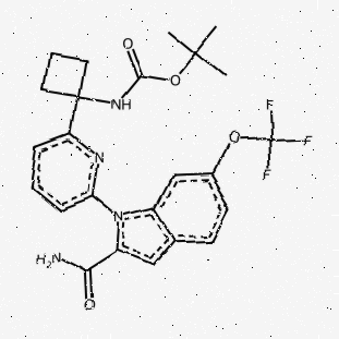 CC(C)(C)OC(=O)NC1(c2cccc(-n3c(C(N)=O)cc4ccc(OC(F)(F)F)cc43)n2)CCC1